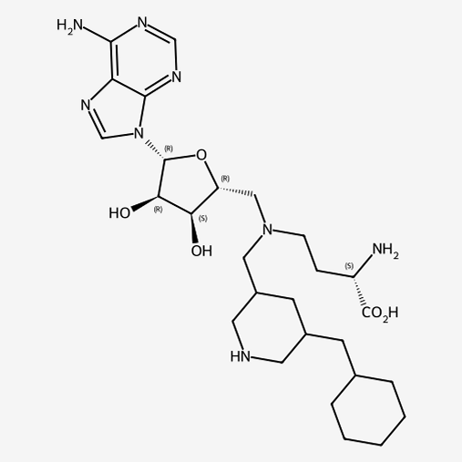 Nc1ncnc2c1ncn2[C@@H]1O[C@H](CN(CC[C@H](N)C(=O)O)CC2CNCC(CC3CCCCC3)C2)[C@@H](O)[C@H]1O